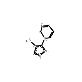 Cn1cnnc1N1C=CC=NC1